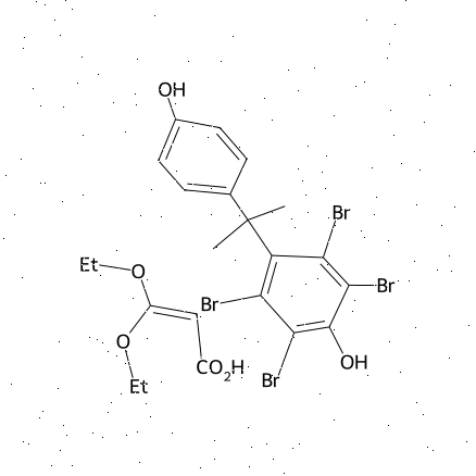 CC(C)(c1ccc(O)cc1)c1c(Br)c(Br)c(O)c(Br)c1Br.CCOC(=CC(=O)O)OCC